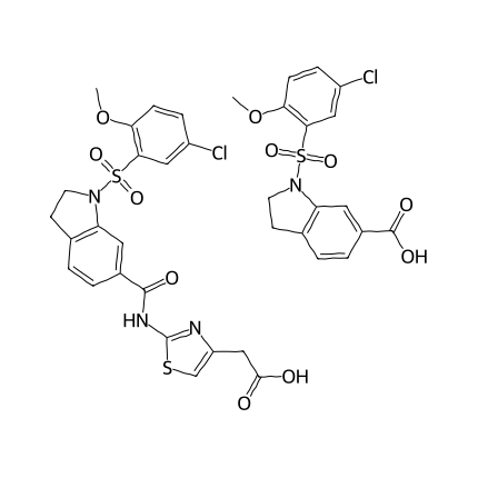 COc1ccc(Cl)cc1S(=O)(=O)N1CCc2ccc(C(=O)Nc3nc(CC(=O)O)cs3)cc21.COc1ccc(Cl)cc1S(=O)(=O)N1CCc2ccc(C(=O)O)cc21